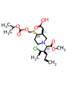 C=C/C=C(\C(=C)Cl)[C@@H](C(=O)OC)N1CC[C@@H](SCOC(=O)OC(C)C)/C(=C\C(=O)O)C1